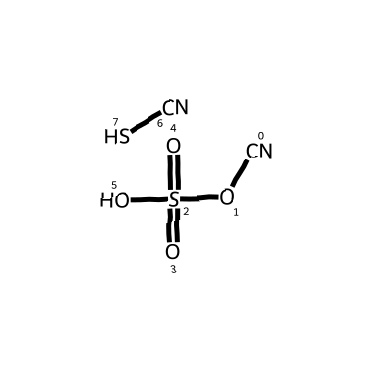 N#COS(=O)(=O)O.N#CS